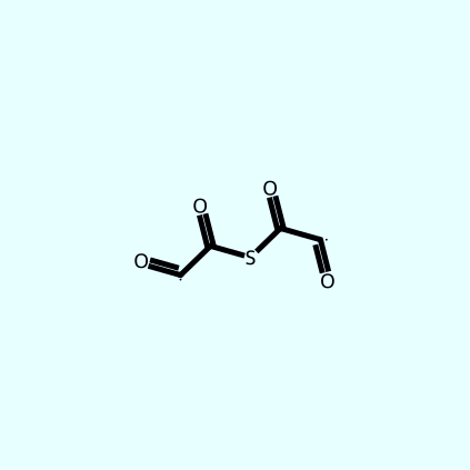 O=[C]C(=O)SC(=O)[C]=O